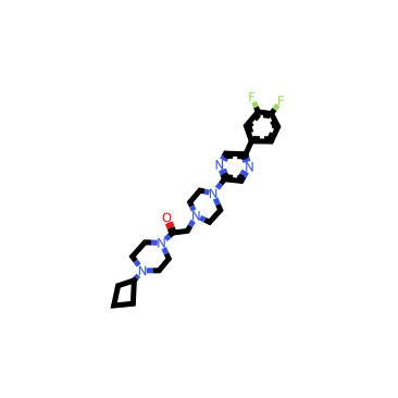 O=C(CN1CCN(c2cnc(-c3ccc(F)c(F)c3)cn2)CC1)N1CCN(C2CCC2)CC1